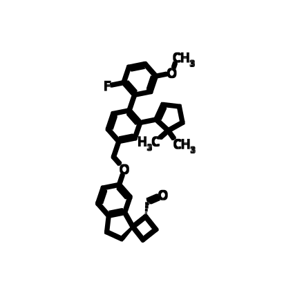 COc1ccc(F)c(-c2ccc(COc3ccc4c(c3)[C@@]3(CC4)CC[C@H]3C=O)cc2C2=CCCC2(C)C)c1